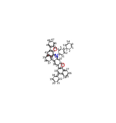 C1=CCC(c2ccc(N(C3=CC4Oc5c(cc(-c6ccccc6)c6ccccc56)C4C=C3c3ccccc3)c3cccc4c3oc3ccccc34)cc2)C=C1